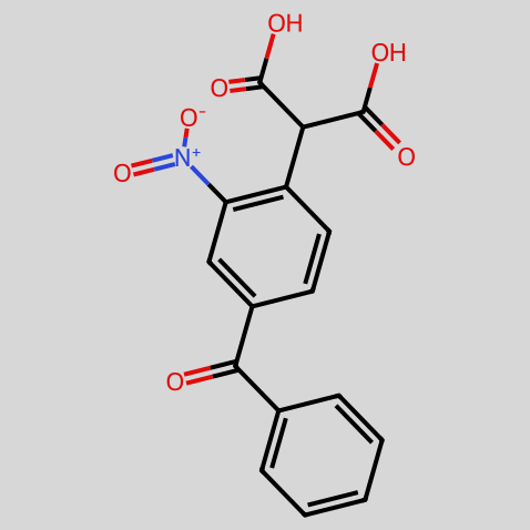 O=C(c1ccccc1)c1ccc(C(C(=O)O)C(=O)O)c([N+](=O)[O-])c1